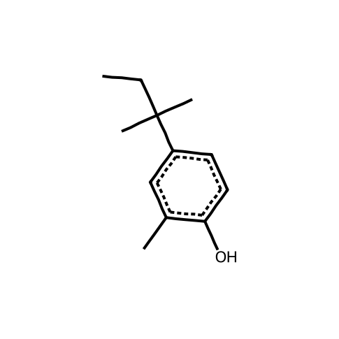 CCC(C)(C)c1ccc(O)c(C)c1